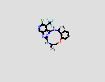 C=C1COc2ccccc2C(=C)Nc2nc(nc3cnc(Cl)c(C(F)(F)F)c23)N1